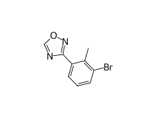 Cc1c(Br)cccc1-c1ncon1